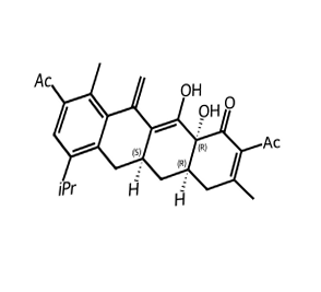 C=C1C2=C(O)[C@@]3(O)C(=O)C(C(C)=O)=C(C)C[C@H]3C[C@H]2Cc2c(C(C)C)cc(C(C)=O)c(C)c21